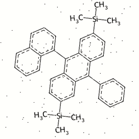 C[Si](C)(C)c1ccc2c(-c3cccc4ccccc34)c3cc([Si](C)(C)C)ccc3c(-c3ccccc3)c2c1